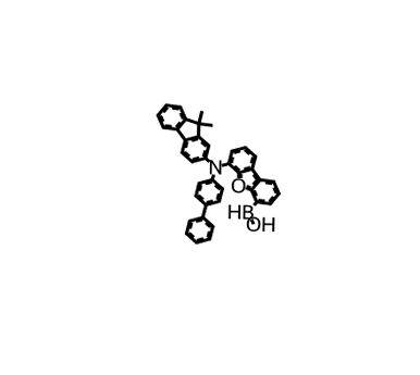 CC1(C)c2ccccc2-c2ccc(N(c3ccc(-c4ccccc4)cc3)c3cccc4c3oc3c(BO)cccc34)cc21